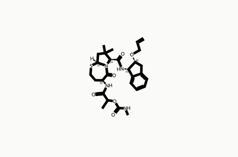 C=CCO[C@@H]1Cc2ccccc2[C@@H]1NC(=O)[C@H]1N2C(=O)[C@@H](NC(=O)C(C)OC(=O)NC)CCS[C@H]2CC1(C)C